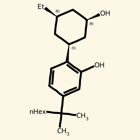 CCCCCCC(C)(C)c1ccc([C@@H]2C[C@H](O)C[C@H](CC)C2)c(O)c1